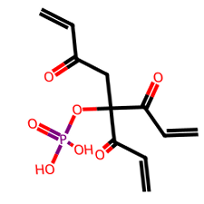 C=CC(=O)CC(OP(=O)(O)O)(C(=O)C=C)C(=O)C=C